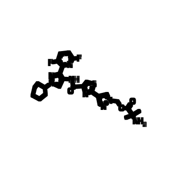 CC(C)(N)C(=O)OCn1cc(-c2nc(C(=O)Nc3cn(C4CCCCC4)nc3-c3nc(F)ccc3F)cs2)cn1